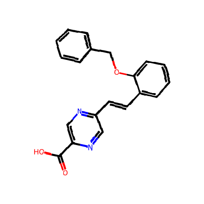 O=C(O)c1cnc(/C=C/c2ccccc2OCc2ccccc2)cn1